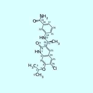 CC(C)Oc1cc2[nH]c(=O)c([C@H](C)Nc3cccc(C(N)=O)c3)cc2cc1Cl